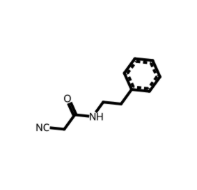 N#CCC(=O)NCCc1ccccc1